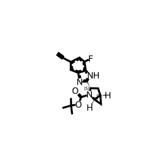 C#Cc1cc(F)c2[nH]c([C@@H]3C[C@H]4C[C@H]4N3C(=O)OC(C)(C)C)nc2c1